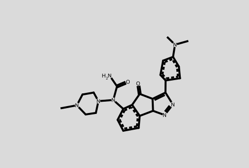 CN1CCN(N(C(N)=O)c2cccc3c2C(=O)C2=C(c4ccc(N(C)C)cc4)N=NC23)CC1